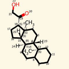 C[C@]12CC[C@H]3[C@@H](CCC4CCCC[C@@]43C)[C@@H]1CC[C@@H]2C(=O)CO